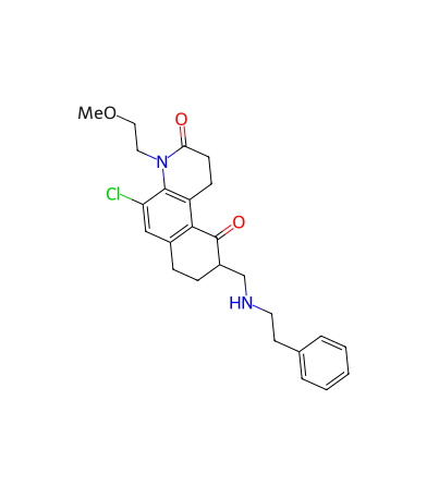 COCCN1C(=O)CCc2c3c(cc(Cl)c21)CCC(CNCCc1ccccc1)C3=O